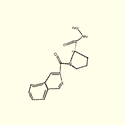 O=C(NO)[C@@H]1CCCN1C(=O)c1cc2ccccc2cn1